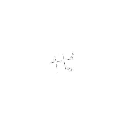 C=C[Si](C)(C=C)[Si](C)(C)C